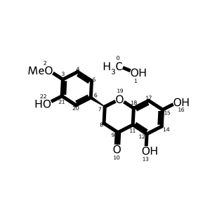 CO.COc1ccc([C@@H]2CC(=O)c3c(O)cc(O)cc3O2)cc1O